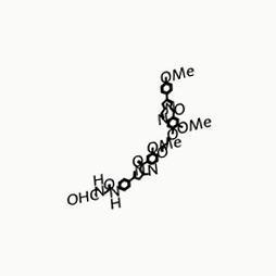 COc1ccc(C2=CN3C(=O)c4cc(OC)c(OCCCOc5cc6c(cc5OC)C(=O)N5C=C(c7ccc(NC(=O)CNC=O)cc7)CC5C=N6)cc4N=CC3C2)cc1